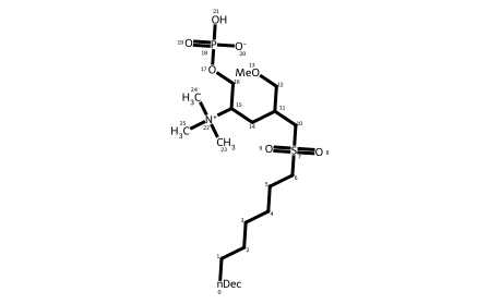 CCCCCCCCCCCCCCCCS(=O)(=O)CC(COC)CC(COP(=O)([O-])O)[N+](C)(C)C